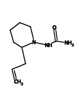 C=CCC1CCCCN1NC(N)=O